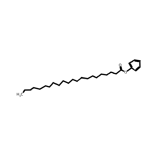 CCCCCCCCCCCCCCCCCCCCCC(=O)Oc1ccccc1